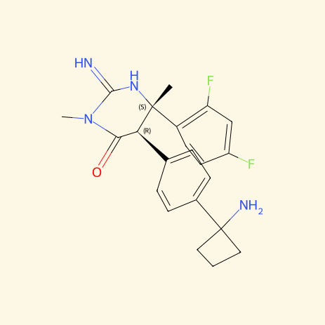 CN1C(=N)N[C@](C)(c2ccc(F)cc2F)[C@@H](c2ccc(C3(N)CCC3)cc2)C1=O